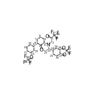 O=C(CN1c2cccc(-c3cccc(OC(F)(F)F)c3)c2OCC1c1ccc2c(c1)OC(F)(F)O2)C(F)(F)F